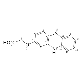 O=C(O)COc1ccc2c(c1)Nc1ccccc1S2